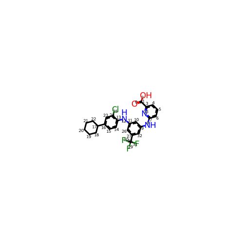 O=C(O)c1cccc(Nc2cc(Nc3ccc(C4CCCCC4)cc3Cl)cc(C(F)(F)F)c2)n1